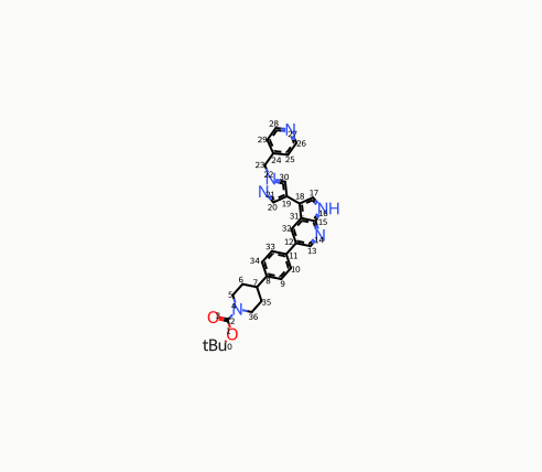 CC(C)(C)OC(=O)N1CCC(c2ccc(-c3cnc4[nH]cc(-c5cnn(Cc6ccncc6)c5)c4c3)cc2)CC1